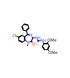 COc1ccc(NC(=S)NC2N=C(c3ccccc3)c3cc(Cl)ccc3N(C)C2=O)c(OC)c1